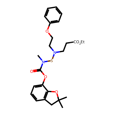 CCOC(=O)CCN(CCOc1ccccc1)SN(C)C(=O)Oc1cccc2c1OC(C)(C)C2